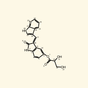 O=C1Nc2ccc(OC(=O)C(O)CO)cc2C1=Cc1c[nH]c2ncccc12